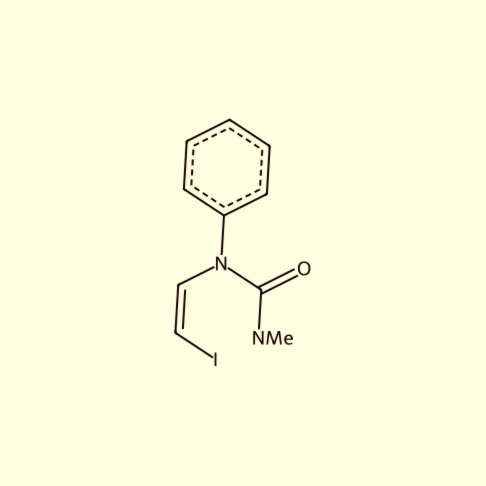 CNC(=O)N(/C=C\I)c1ccccc1